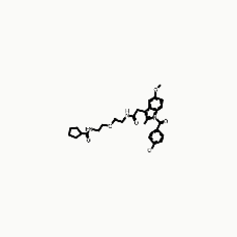 COc1ccc2c(c1)c(CC(=O)NCCOCCNC(=O)C1CCCC1)c(C)n2C(=O)c1ccc(Cl)cc1